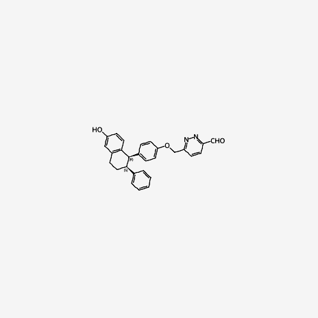 O=Cc1ccc(COc2ccc([C@@H]3c4ccc(O)cc4CC[C@@H]3c3ccccc3)cc2)nn1